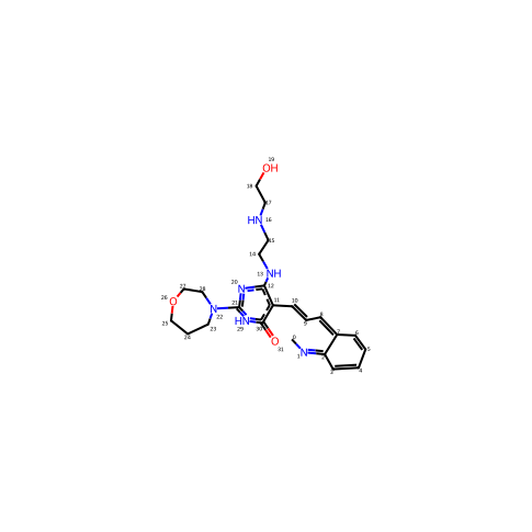 C/N=C1/C=CC=C/C1=C/C=C/c1c(NCCNCCO)nc(N2CCCOCC2)[nH]c1=O